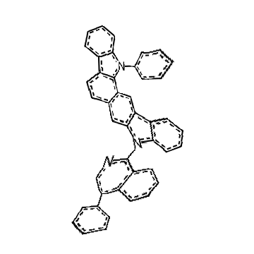 c1ccc(-c2cnc(-n3c4ccccc4c4cc5c(ccc6c7ccccc7n(-c7ccccc7)c56)cc43)c3ccccc23)cc1